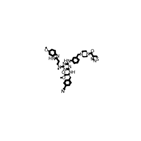 COC(=O)[C@H](Cc1ccc(C#N)cc1)Nc1nc(Nc2cccc(CN3CCN(C(=O)c4csnn4)CC3)c2)nc(N(C)CCc2nc3ccc(OC)cc3[nH]2)n1